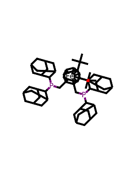 CC(C)(C)[C]12[CH]3[C]4(CP(C5C6CC7CC(C6)CC5C7)C5C6CC7CC(C6)CC5C7)[C]5(CP(C6C7CC8CC(C7)CC6C8)C6C7CC8CC(C7)CC6C8)[C]1(C(C)(C)C)[Fe]34521678[CH]2[CH]1[CH]6[CH]7[CH]28